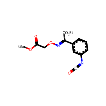 CCOC(=O)/C(=N\OCC(=O)OC(C)(C)C)c1cccc(N=C=O)c1